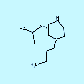 CC(N)O.NCCCN1CCNCC1